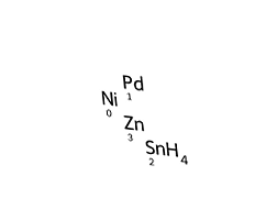 [Ni].[Pd].[SnH4].[Zn]